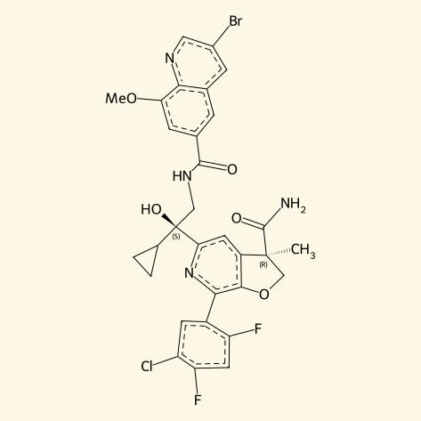 COc1cc(C(=O)NC[C@](O)(c2cc3c(c(-c4cc(Cl)c(F)cc4F)n2)OC[C@]3(C)C(N)=O)C2CC2)cc2cc(Br)cnc12